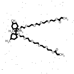 C=CC(=O)OCCOCCOCCOCCOCCOC1(C(C)(C)C2(OCCOCCOCCOCCOCCOC(=O)C=C)CCC(C)CC2)CCC(C)CC1